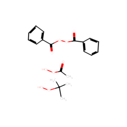 CC(=O)OO.CC(C)(C)OO.O=C(OOC(=O)c1ccccc1)c1ccccc1